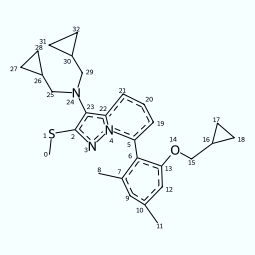 CSc1nn2c(-c3c(C)cc(C)cc3OCC3CC3)cccc2c1N(CC1CC1)CC1CC1